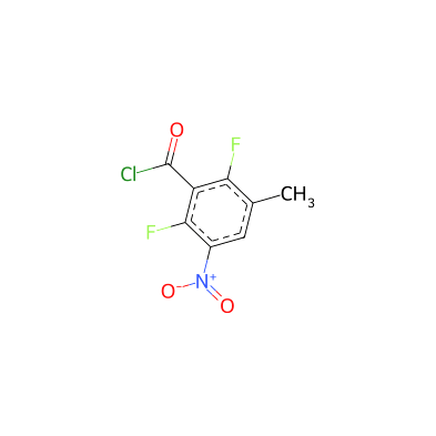 Cc1cc([N+](=O)[O-])c(F)c(C(=O)Cl)c1F